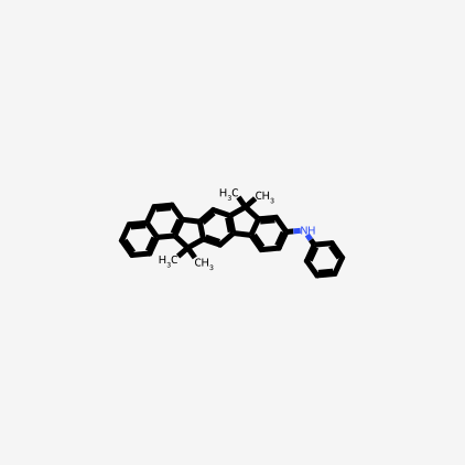 CC1(C)c2cc(Nc3ccccc3)ccc2-c2cc3c(cc21)-c1ccc2ccccc2c1C3(C)C